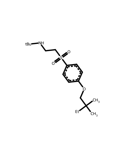 CCC(C)(C)COc1ccc(S(=O)(=O)CCNC(C)(C)C)cc1